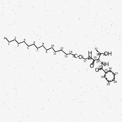 CCCCCCCCCCCCCCCCCCNC(=O)[C@@H](NC(=O)c1ccccc1)[C@@H](C)O